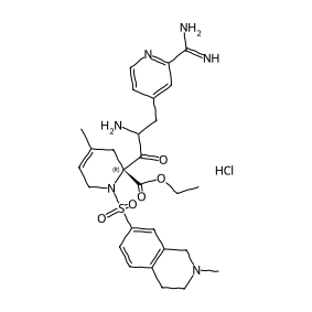 CCOC(=O)[C@]1(C(=O)C(N)Cc2ccnc(C(=N)N)c2)CC(C)=CCN1S(=O)(=O)c1ccc2c(c1)CN(C)CC2.Cl